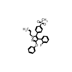 C=CCn1nc(Oc2ccccc2)c(-c2ccccc2F)c1-c1ccc(S(C)(=O)=O)cc1